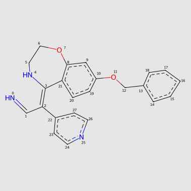 N=C/C(=C1\NCCOc2cc(OCc3ccccc3)ccc21)c1ccncc1